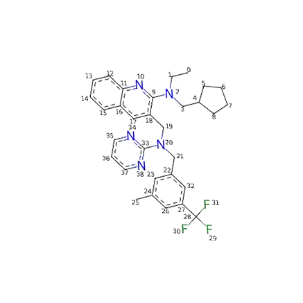 CCN(CC1CCCC1)c1nc2ccccc2cc1CN(Cc1cc(C)cc(C(F)(F)F)c1)c1ncccn1